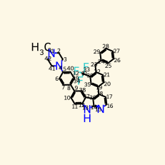 CN1CCN(c2ccc(-c3ccc4[nH]c5nccc(-c6ccc(Cc7ccccc7)c(C(F)(F)F)c6)c5c4c3)cc2)CC1